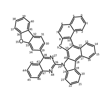 c1ccc2c(c1)ccc1sc3c(c4ccccc4c4c5ccccc5n(-c5nc(-c6ccc7c(c6)oc6ccccc67)c6ccccc6n5)c34)c12